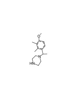 COc1ccc(C(C)N2CCNCC2)c(C)c1C